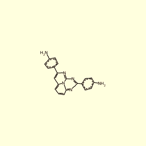 Nc1ccc(C2=CC3=CC=CC4=NC(c5ccc(N)cc5)=NC(=N2)N34)cc1